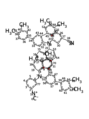 [C-]#[N+]c1cccc(N(C2=C3C=CC4=C5C(=CC=C(C=C2)C35)C(N(c2cccc(C#N)c2)c2ccc(-c3ccc(C)c(C)c3)cc2-c2ccc(C)c(C)c2)C=C4)c2ccc(-c3ccc(C)c(C)c3)cc2-c2ccc(C)c(C)c2)c1